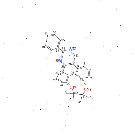 CC1(C)OB(c2cccc(-c3cnc(-c4ccccc4)nc3-c3ccccc3)c2)OC1(C)C